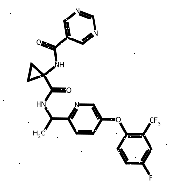 CC(NC(=O)C1(NC(=O)c2cncnc2)CC1)c1ccc(Oc2ccc(F)cc2C(F)(F)F)cn1